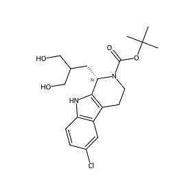 CC(C)(C)OC(=O)N1CCc2c([nH]c3ccc(Cl)cc23)[C@@H]1CC(CO)CO